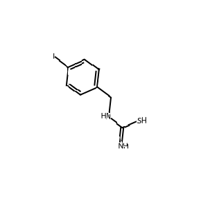 N=C(S)NCc1ccc(I)cc1